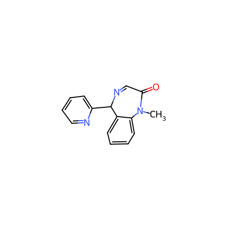 CN1C(=O)C=NC(c2ccccn2)c2ccccc21